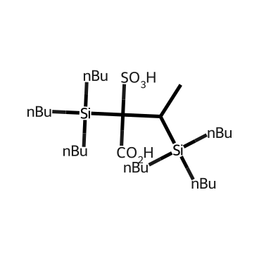 CCCC[Si](CCCC)(CCCC)C(C)C(C(=O)O)([Si](CCCC)(CCCC)CCCC)S(=O)(=O)O